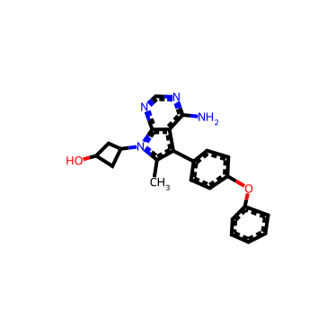 Cc1c(-c2ccc(Oc3ccccc3)cc2)c2c(N)ncnc2n1C1CC(O)C1